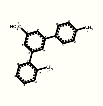 Cc1ccc(-c2cc(C(=O)O)cc(-c3ccccc3C(F)(F)F)c2)cc1